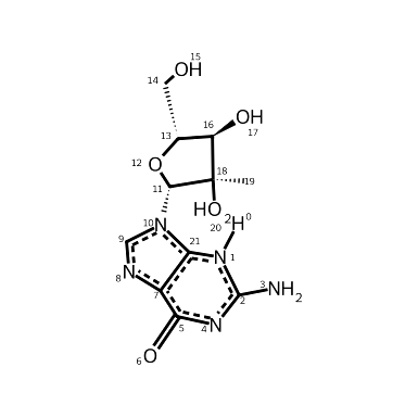 [2H]n1c(N)nc(=O)c2ncn([C@@H]3O[C@H](CO)[C@@H](O)[C@@]3(C)O)c21